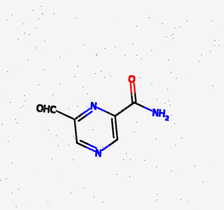 NC(=O)c1cncc(C=O)n1